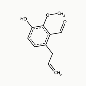 C=CCc1ccc(O)c(OC)c1C=O